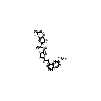 COc1ccc2nccc(CCN3CCC(N(C)C(=O)c4ccc5c(n4)NC(=O)CS5)C3)c2n1